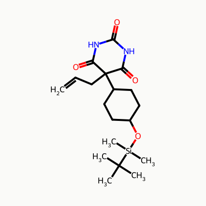 C=CCC1(C2CCC(O[Si](C)(C)C(C)(C)C)CC2)C(=O)NC(=O)NC1=O